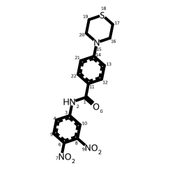 O=C(Nc1ccc([N+](=O)[O-])c([N+](=O)[O-])c1)c1ccc(N2CCSCC2)cc1